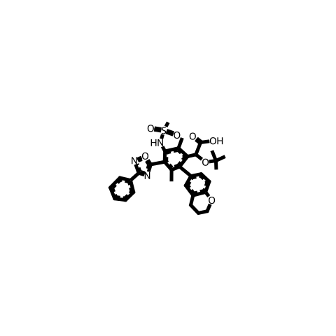 Cc1c(-c2nc(-c3ccccc3)no2)c(NS(C)(=O)=O)c(C)c(C(OC(C)(C)C)C(=O)O)c1-c1ccc2c(c1)CCCO2